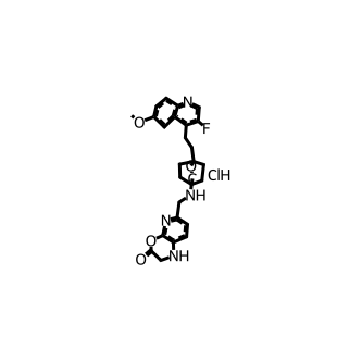 COc1ccc2ncc(F)c(CCC34CCC(NCc5ccc6c(n5)OC(=O)CN6)(CC3)CO4)c2c1.Cl